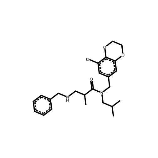 CC(C)CN(Cc1cc(Cl)c2c(c1)OCCO2)C(=O)C(C)CNCc1ccccc1